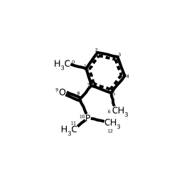 Cc1cccc(C)c1C(=O)P(C)C